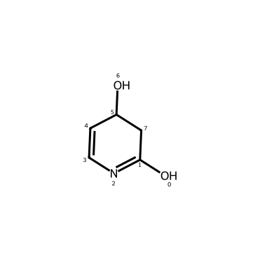 OC1=NC=CC(O)C1